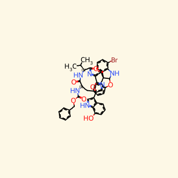 CC(C)[C@@H]1NC(=O)[C@@H](NC(=O)OCc2ccccc2)Cc2ccc3c(c2)C2(c4cccc(Br)c4NC2O3)c2oc1nc2-c1ncc(-c2c[nH]c3c(O)cccc23)o1